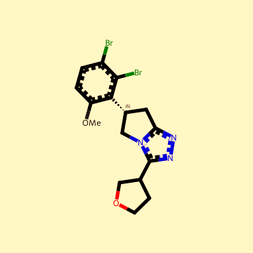 COc1ccc(Br)c(Br)c1[C@@H]1Cc2nnc(C3CCOC3)n2C1